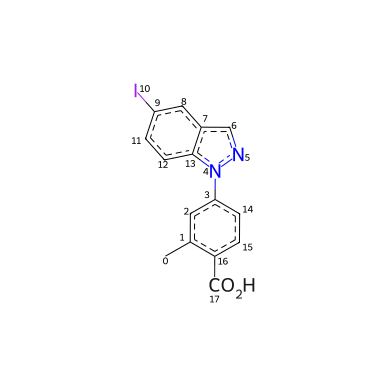 Cc1cc(-n2ncc3cc(I)ccc32)ccc1C(=O)O